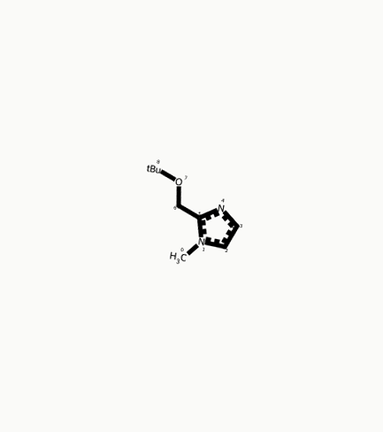 Cn1ccnc1COC(C)(C)C